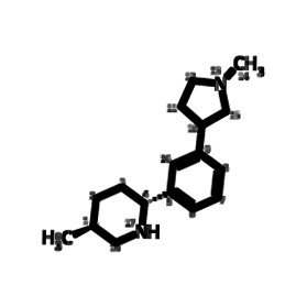 C[C@H]1CC[C@H](c2cccc(C3CCN(C)C3)c2)NC1